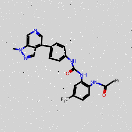 CC(C)C(=O)Nc1ccc(C(F)(F)F)cc1NC(=O)Nc1ccc(-c2cncc3c2cnn3C)cc1